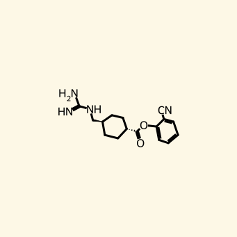 N#Cc1ccccc1OC(=O)[C@H]1CC[C@H](CNC(=N)N)CC1